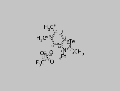 CC[n+]1c(C)[te]c2cc(C)c(C)cc21.O=S(=O)([O-])C(F)(F)F